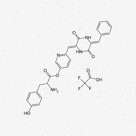 NC(Cc1ccc(O)cc1)C(=O)Oc1ccc(C=c2[nH]c(=O)c(=Cc3ccccc3)[nH]c2=O)nc1.O=C(O)C(F)(F)F